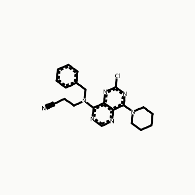 N#CCCN(Cc1ccccc1)c1ncnc2c(N3CCCCC3)nc(Cl)nc12